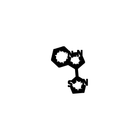 c1ccn2ncc(-c3nccs3)c2c1